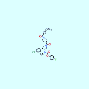 COC1CC(C(=O)N2CCC(C(=O)N3C[C@@H](N(C)C(=O)Oc4ccc(F)cc4)[C@H](c4ccc(Cl)cc4)C3)CC2)C1